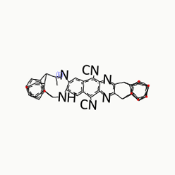 C/C1=N\c2cc3c(C#N)c4nc5c(nc4c(C#N)c3cc2NC2c3ccccc3C1c1ccccc12)C1c2ccccc2C5c2ccccc21